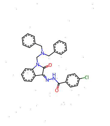 O=C(NN=C1C(=O)N(CN(Cc2ccccc2)Cc2ccccc2)c2ccccc21)c1ccc(Cl)cc1